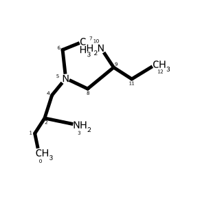 CCC(N)CN(CC)CC(N)CC